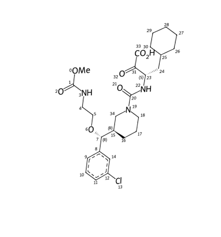 COC(=O)NCCO[C@@H](c1cccc(Cl)c1)[C@@H]1CCCN(C(=O)N[C@@H](CC2CCCCC2)C(=O)C(=O)O)C1